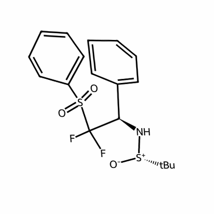 CC(C)(C)[S@+]([O-])N[C@H](c1ccccc1)C(F)(F)S(=O)(=O)c1ccccc1